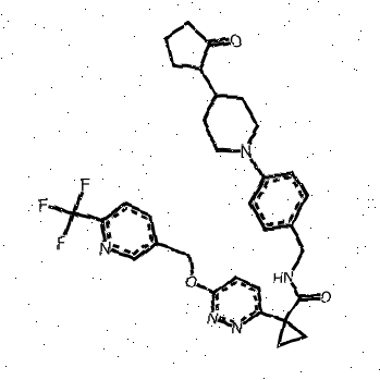 O=C1CCCC1C1CCN(c2ccc(CNC(=O)C3(c4ccc(OCc5ccc(C(F)(F)F)nc5)nn4)CC3)cc2)CC1